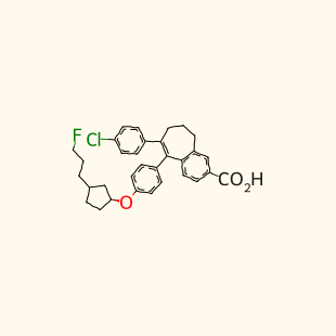 O=C(O)c1ccc2c(c1)CCCC(c1ccc(Cl)cc1)=C2c1ccc(O[C@H]2CCC(CCCF)C2)cc1